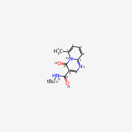 Cc1cccc2ncc(C(=O)NC(C)(C)C)c(=O)n12